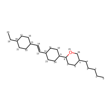 CCCCCC1CCC(C2CCC(/C=C/C3CCC(CC)CC3)CC2)OC1